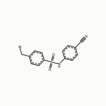 N#Cc1ccc(NS(=O)(=O)c2ccc(CBr)cc2)cc1